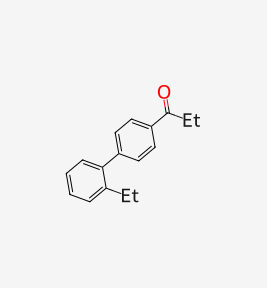 CCC(=O)c1ccc(-c2ccccc2CC)cc1